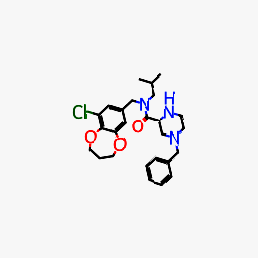 CC(C)CN(Cc1cc(Cl)c2c(c1)OCCCO2)C(=O)C1CN(Cc2ccccc2)CCN1